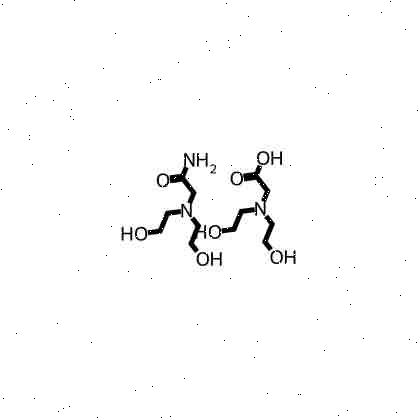 NC(=O)CN(CCO)CCO.O=C(O)CN(CCO)CCO